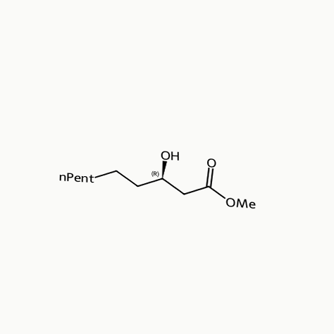 CCCCCCC[C@@H](O)CC(=O)OC